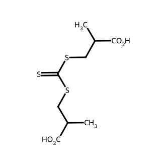 CC(CSC(=S)SCC(C)C(=O)O)C(=O)O